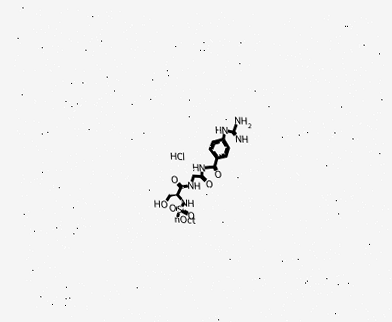 CCCCCCCCS(=O)(=O)N[C@@H](CO)C(=O)NCC(=O)NC(=O)c1ccc(NC(=N)N)cc1.Cl